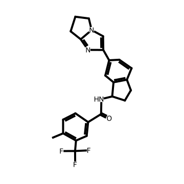 Cc1ccc(C(=O)NC2CCc3ccc(-c4cn5c(n4)CCC5)cc32)cc1C(F)(F)F